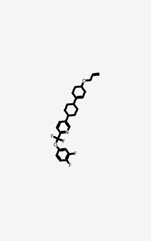 C=CCOC1CC=C(C2CCC(c3ccc(C(F)(F)Oc4ccc(F)c(F)c4)nc3)CC2)CC1